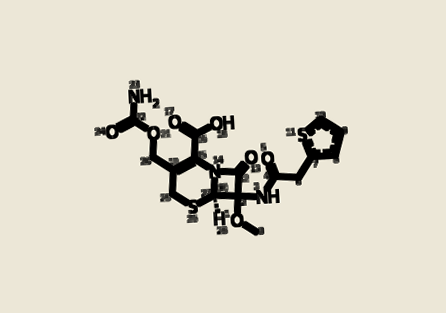 COC1(NC(=O)Cc2cccs2)C(=O)N2C(C(=O)O)=C(COC(N)=O)CS[C@@H]21